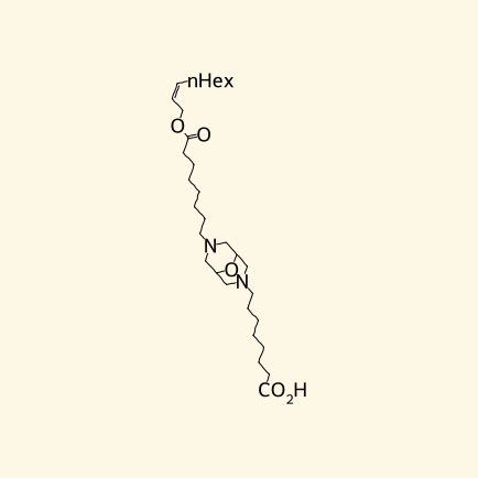 CCCCCC/C=C\COC(=O)CCCCCCCN1CC2CN(CCCCCCCC(=O)O)CC(C1)O2